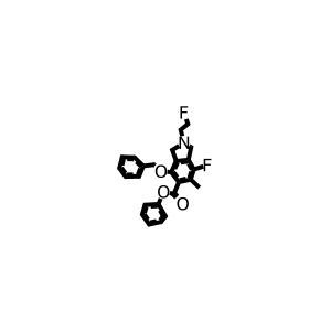 Cc1c(F)c2c(c(OCc3ccccc3)c1C(=O)Oc1ccccc1)CN(CCF)C2